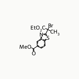 CCOC(=O)C(C)(Br)c1nc2cc(C(=O)OC)ccc2s1